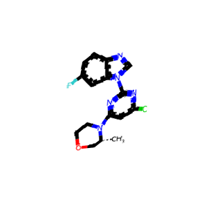 C[C@@H]1COCCN1c1cc(Cl)nc(-n2cnc3ccc(F)cc32)n1